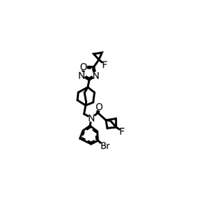 O=C(N(CC12CCC(c3noc(C4(F)CC4)n3)(CC1)CC2)c1cccc(Br)c1)C12CC(F)(C1)C2